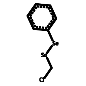 ClC[Se][Se]c1ccccc1